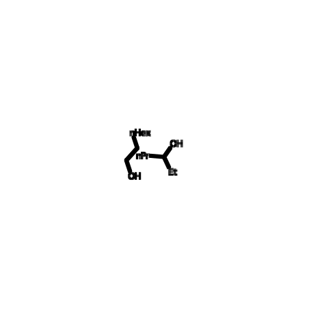 CCCC(O)CC.CCCCCCCCO